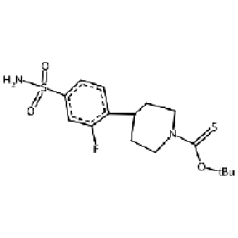 CC(C)(C)OC(=S)N1CCC(c2ccc(S(N)(=O)=O)cc2F)CC1